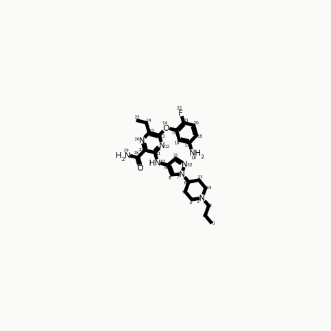 CCCN1CCC(n2cc(Nc3nc(Oc4cc(N)ccc4F)c(CC)nc3C(N)=O)cn2)CC1